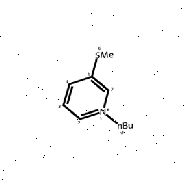 CCCC[n+]1cccc(SC)c1